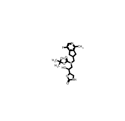 Cc1ncc(F)c2c1CC(CN(CC(O)C1CNC(=O)O1)C(=O)OC(C)(C)C)C2